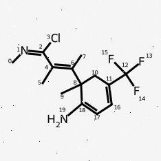 C/N=C(Cl)\C(C)=C(/C)C1(C)CC(C(F)(F)F)=CC=C1N